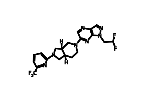 FC(F)Cn1ncc2ncc(N3CC[C@@H]4CN(c5cccc(C(F)(F)F)n5)C[C@@H]4C3)nc21